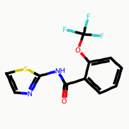 O=C(Nc1nccs1)c1ccccc1OC(F)(F)F